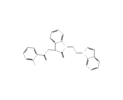 O=C(C[C@]1(O)C(=O)N(CCn2ccc3ccccc32)c2ccccc21)c1ccccc1Cl